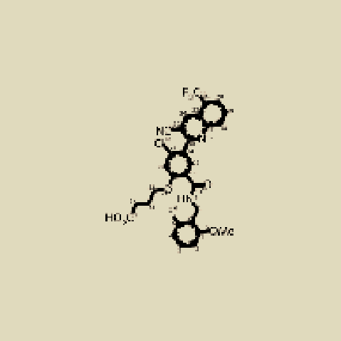 COc1cccc(F)c1CNC(=O)c1cc(-c2nc3cccc(C(F)(F)F)c3cc2C#N)c(Cl)cc1OCCCC(=O)O